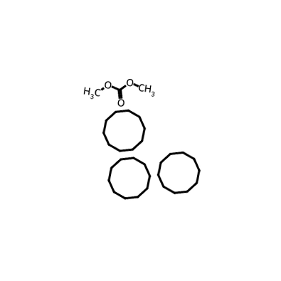 C1CCCCCCCCC1.C1CCCCCCCCC1.C1CCCCCCCCC1.COC(=O)OC